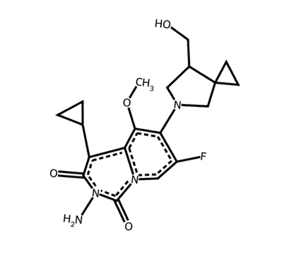 COc1c(N2CC(CO)C3(CC3)C2)c(F)cn2c(=O)n(N)c(=O)c(C3CC3)c12